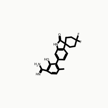 Cc1ccc(C(=N)N)c(O)c1-c1ccc2c(c1)NC(=O)C21CCC(F)(F)CC1